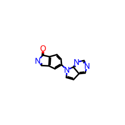 O=C1N=Cc2cc(-n3ccc4cncnc43)ccc21